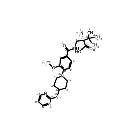 COc1cc(C(=O)NC[C@](N)(C(=O)O)C(C)(C)C)ccc1N1CCC(Nc2ncccn2)CC1